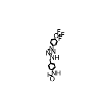 O=C(I)Nc1ccc(CNc2ncn(-c3ccc(OC(F)(F)F)cc3)n2)cc1